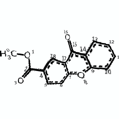 COC(=O)c1ccc2oc3ccccc3c(=O)c2c1